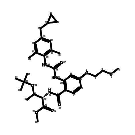 COCCOc1ccc(C(=O)N[C@H](C(=O)OC)C(C)OC(C)(C)C)c(NC(=O)Nc2c(C)cc(CC3CC3)cc2C)c1